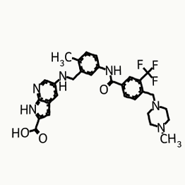 Cc1ccc(NC(=O)c2ccc(CN3CCN(C)CC3)c(C(F)(F)F)c2)cc1CNc1cnc2[nH]c(C(=O)O)cc2c1